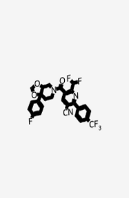 N#Cc1cc(C(=O)N2CCC3(c4ccc(F)cc4)OCOC3C2)c(C(F)F)nc1-c1ccc(C(F)(F)F)cc1